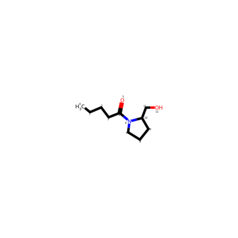 CCCCC(=O)N1CCCC1CO